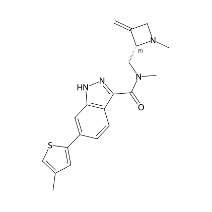 C=C1CN(C)[C@@H]1CN(C)C(=O)c1n[nH]c2cc(-c3cc(C)cs3)ccc12